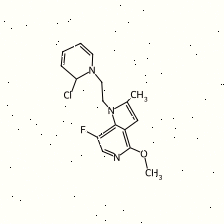 COc1ncc(F)c2c1cc(C)n2CCN1C=CC=CC1Cl